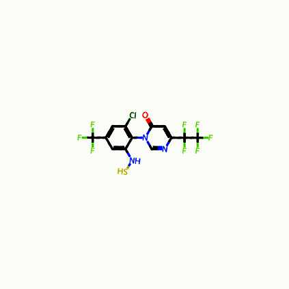 O=c1cc(C(F)(F)C(F)(F)F)ncn1-c1c(Cl)cc(C(F)(F)F)cc1NS